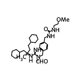 COCCNC(=O)NCc1ccc(CN(C=O)C(=N)N[C@](C)(CCC2CCCCC2)CC2CCCCC2)cc1